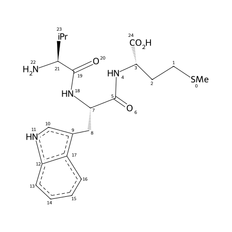 CSCC[C@H](NC(=O)[C@H](Cc1c[nH]c2ccccc12)NC(=O)[C@@H](N)C(C)C)C(=O)O